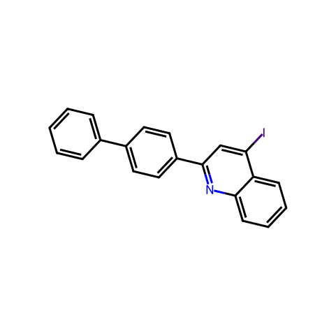 Ic1cc(-c2ccc(-c3ccccc3)cc2)nc2ccccc12